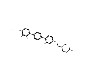 CCCCCC1CCC(COc2ccc(-c3ccc(-c4ccc(OC)c(F)c4F)cc3)c(F)c2)CO1